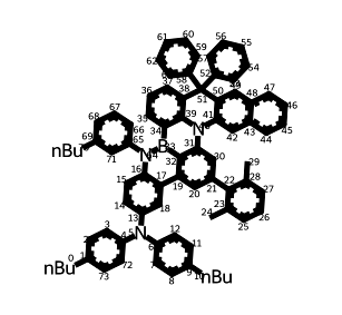 CCCCc1ccc(N(c2ccc(CCCC)cc2)c2ccc3c(c2)-c2cc(-c4c(C)cccc4C)cc4c2B(c2cccc5c2N4c2cc4ccccc4cc2C5(c2ccccc2)c2ccccc2)N3c2cccc(CCCC)c2)cc1